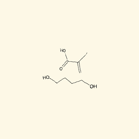 C=C(C)C(=O)O.OCCCCO